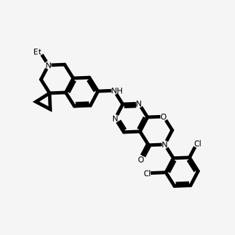 CCN1Cc2cc(Nc3ncc4c(n3)OCN(c3c(Cl)cccc3Cl)C4=O)ccc2C2(CC2)C1